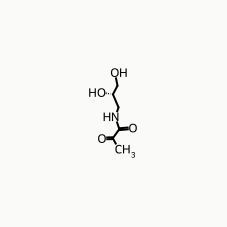 CC(=O)C(=O)NC[C@H](O)CO